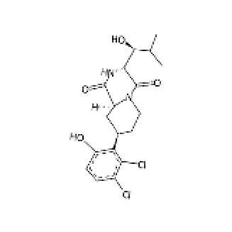 CC(C)[C@H](O)[C@H]1NC(=O)[C@@H]2C[C@H](c3c(O)ccc(Cl)c3Cl)CCN2C1=O